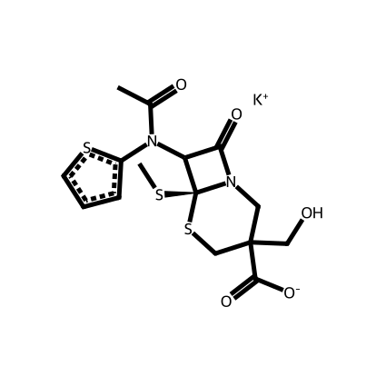 CS[C@]12SCC(CO)(C(=O)[O-])CN1C(=O)C2N(C(C)=O)c1cccs1.[K+]